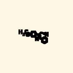 COc1ccc2c(CC#N)n(-c3ccccc3)nc2c1